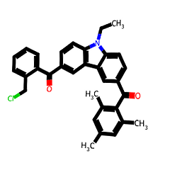 CCn1c2ccc(C(=O)c3ccccc3CCl)cc2c2cc(C(=O)c3c(C)cc(C)cc3C)ccc21